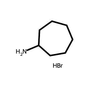 Br.NC1CCCCCC1